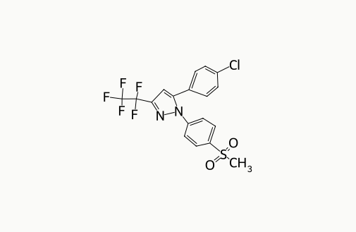 CS(=O)(=O)c1ccc(-n2nc(C(F)(F)C(F)(F)F)cc2-c2ccc(Cl)cc2)cc1